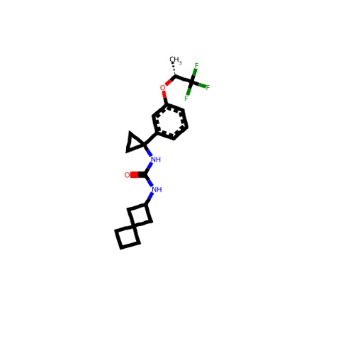 C[C@@H](Oc1cccc(C2(NC(=O)NC3CC4(CCC4)C3)CC2)c1)C(F)(F)F